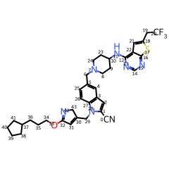 N#Cc1cc2cc(CN3CCC(Nc4ncnc5sc(CC(F)(F)F)cc45)CC3)ccc2n1CC1=CC(OCCCC2CCCC2)=NC1